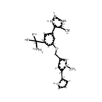 Cn1nc(COc2cc(-c3nn[nH]c3C#N)cc(C(F)(F)P)c2)cc1-c1ccco1